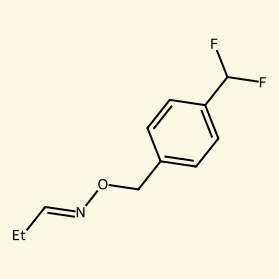 CCC=NOCc1ccc(C(F)F)cc1